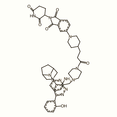 Nc1nnc(-c2ccccc2O)cc1N1CC2CCC(C1)N2c1cccc(CN2CCN(C(=O)CCC3CCN(c4ccc5c(c4)C(=O)N(C4CCC(=O)NC4=O)C5=O)CC3)CC2)n1